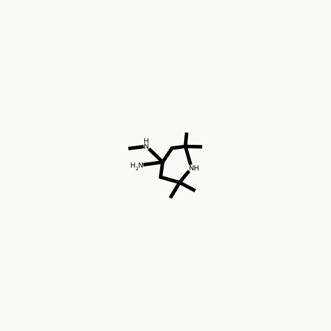 CNC1(N)CC(C)(C)NC(C)(C)C1